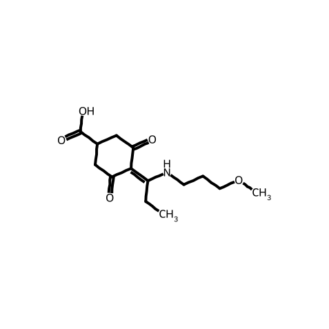 CCC(NCCCOC)=C1C(=O)CC(C(=O)O)CC1=O